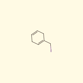 ICC1=CCC=CC1